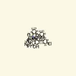 CC(C)C(O)(Cn1cncn1)c1ccc(Oc2ccc(Cl)cc2)cc1C(F)(F)F.CNC(=O)/C(=N/OC)c1ccccc1Oc1ccccc1